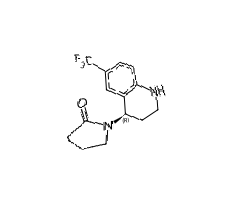 O=C1CCCN1[C@@H]1CCNc2ccc(C(F)(F)F)cc21